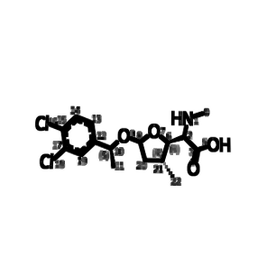 CNC(C(=O)O)[C@@H]1OC(O[C@@H](C)c2ccc(Cl)c(Cl)c2)C[C@H]1C